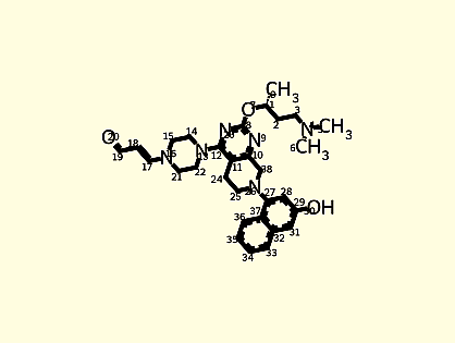 C[C@H](CCN(C)C)Oc1nc2c(c(N3CCN(C=CC=O)CC3)n1)CCN(c1cc(O)cc3ccccc13)C2